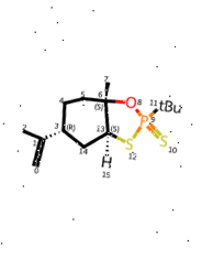 C=C(C)[C@@H]1CC[C@]2(C)OP(=S)(C(C)(C)C)S[C@H]2C1